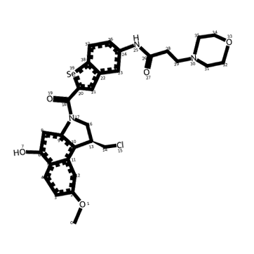 COc1ccc2c(O)cc3c(c2c1)[C@H](CCl)CN3C(=O)c1cc2cc(NC(=O)CCN3CCOCC3)ccc2[se]1